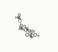 Cn1nc(-c2cccc(-n3ncc4cc(C(C)(C)C)cc(F)c4c3=O)c2CO)cc(Nc2ccc(C3CCN(BC=O)CC3)cn2)c1=O